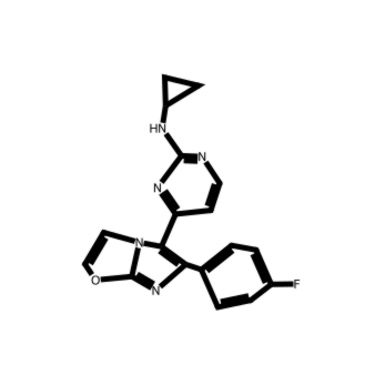 Fc1ccc(-c2nc3occn3c2-c2ccnc(NC3CC3)n2)cc1